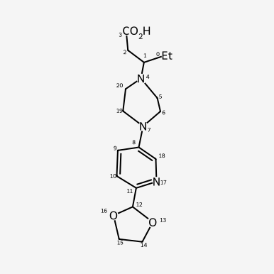 CCC(CC(=O)O)N1CCN(c2ccc(C3OCCO3)nc2)CC1